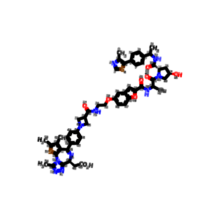 Cc1ncsc1-c1ccc(C(C)NC(=O)[C@@H]2C[C@@H](O)CN2C(=O)C(NC(=O)c2cc3cc(OCCNC(=O)C4CN(c5ccc(C6=N[C@@H](CC(=O)O)c7nnc(C)n7-c7sc(C)c(C)c76)cc5)C4)ccc3o2)C(C)(C)C)cc1